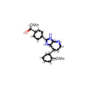 COC(=O)c1ccc(-c2nc3c(-c4ccccc4OC)ccnc3[nH]2)cc1